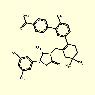 COC(=O)c1ccc(-c2cc(C3=C(CN4C(=O)O[C@H](c5cc(C(F)(F)F)cc(C(F)(F)F)c5)[C@@H]4C)CC(C)(C)CC3)ccc2C)cc1